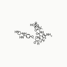 CC1(C)[C@H](NC(=O)/C(=N\O[C@@H](COc2ccc(C(=N)N[C@H]3CCNC3)cc2)C(=O)O)c2nc(N)sc2C(F)(F)F)C(=O)N1OS(=O)(=O)O